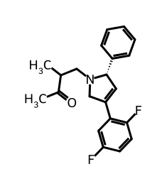 CC(=O)C(C)CN1CC(c2cc(F)ccc2F)=C[C@H]1c1ccccc1